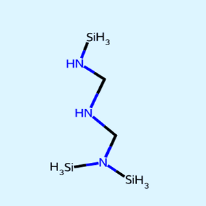 [SiH3]NCNCN([SiH3])[SiH3]